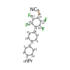 CCCc1ccc(-c2ccc(-c3c(F)c(F)c(SC#N)c(F)c3F)cc2)cc1